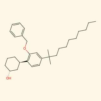 CCCCCCCCCC(C)(C)c1ccc([C@@H]2CCC[C@@H](O)C2)c(OCc2ccccc2)c1